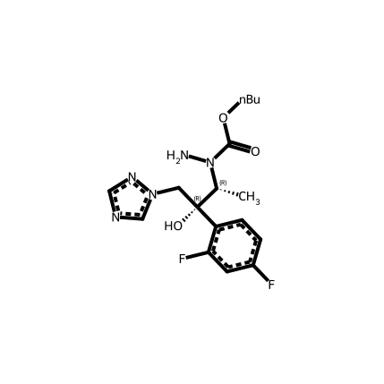 CCCCOC(=O)N(N)[C@H](C)[C@](O)(Cn1cncn1)c1ccc(F)cc1F